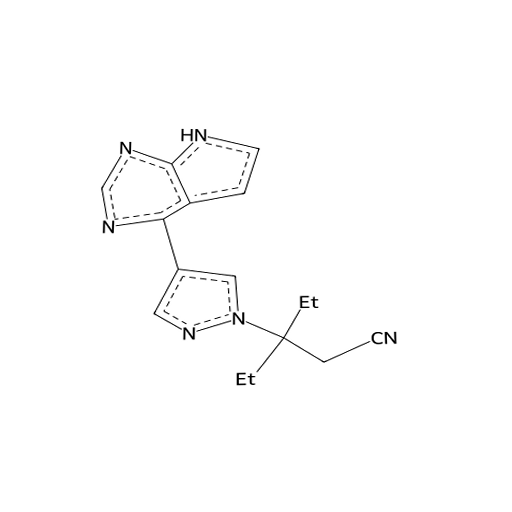 CCC(CC)(CC#N)n1cc(-c2ncnc3[nH]ccc23)cn1